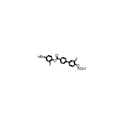 CCCCCCCCOc1ccc(-c2ccc(C(=O)Oc3ccc(CCCC)cc3F)cc2)cc1F